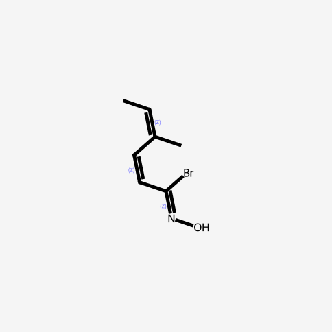 C\C=C(C)/C=C\C(Br)=N\O